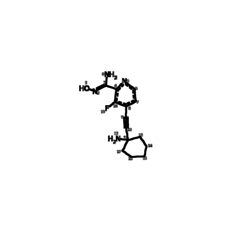 NC(=NO)c1nccc(C#CC2(N)CCCCC2)c1F